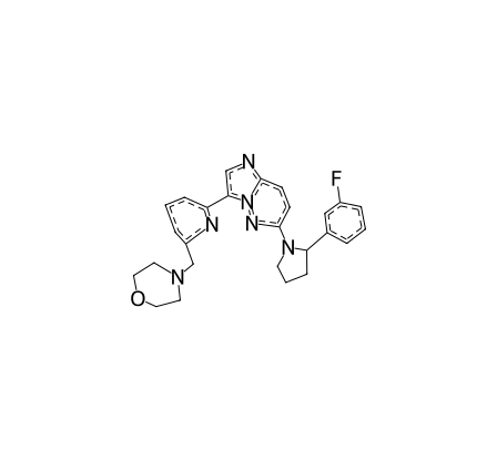 Fc1cccc(C2CCCN2c2ccc3ncc(-c4cccc(CN5CCOCC5)n4)n3n2)c1